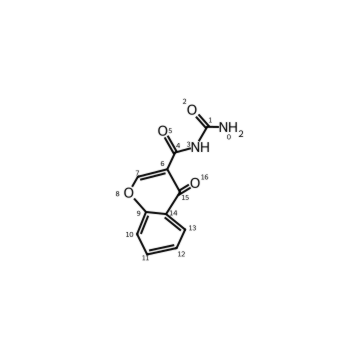 NC(=O)NC(=O)c1coc2ccccc2c1=O